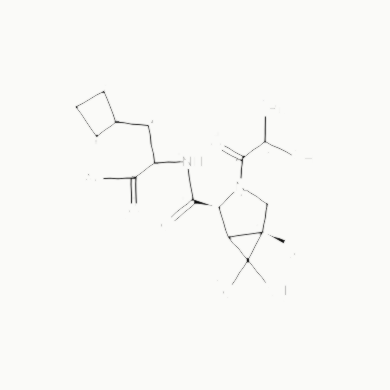 CC(=O)C(=O)C(CC1CCC1)NC(=O)[C@@H]1C2[C@H](CN1C(=O)C(C)C(C)(C)C)C2(C)C